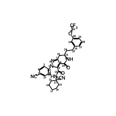 N#Cc1ccc(-n2nc3c(c2C(=O)NC2(C#N)CCCCC2)C(=O)NC(CCc2cccc(OCC(F)(F)F)c2)C3)nc1